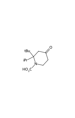 CC(C)C1(C(C)(C)C)CC(=O)CCN1C(=O)O